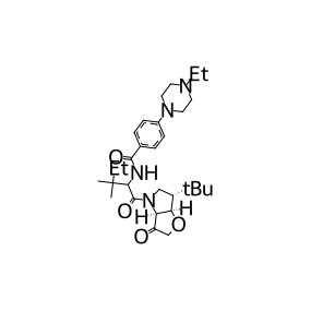 CCN1CCN(c2ccc(C(=O)NC(C(=O)N3C[C@H](C(C)(C)C)[C@H]4OCC(=O)[C@H]43)C(C)(C)CC)cc2)CC1